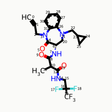 C#CCN1C(=O)[C@@H](NC(=O)C(C)C(=O)NCC(F)(F)C(F)(F)F)CN(CC2CC2)c2ccccc21